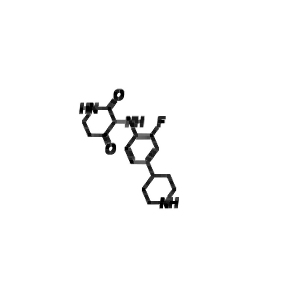 O=C1CCNC(=O)C1Nc1ccc(C2CCNCC2)cc1F